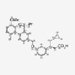 COc1ccc(F)c(-c2ccc(COc3cccc([C@H](CC(=O)O)CC4CC4)c3)cc2[S+]([O-])C(C)C)c1